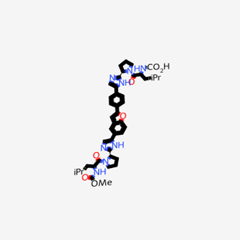 COC(=O)NC(CC(C)C)C(=O)N1CCC[C@H]1c1ncc(-c2ccc3oc(-c4ccc(-c5cnc([C@@H]6CCCN6C(=O)C(CC(C)C)NC(=O)O)[nH]5)cc4)cc3c2)[nH]1